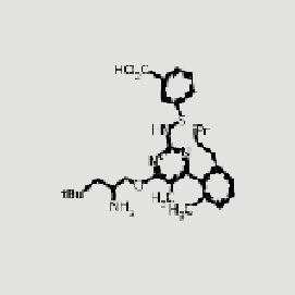 Cc1cccc(CCC(C)C)c1-c1nc(NSc2cccc(C(=O)O)c2)nc(OCC(N)CC(C)(C)C)c1C